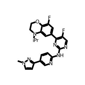 CC(C)N1CCOc2c(F)cc(-c3nc(Nc4ccc(-c5ccn(C)n5)cn4)ncc3F)cc21